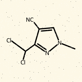 Cn1cc(C#N)c(C(Cl)Cl)n1